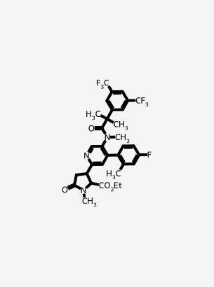 CCOC(=O)C1C(c2cc(-c3ccc(F)cc3C)c(N(C)C(=O)C(C)(C)c3cc(C(F)(F)F)cc(C(F)(F)F)c3)cn2)CC(=O)N1C